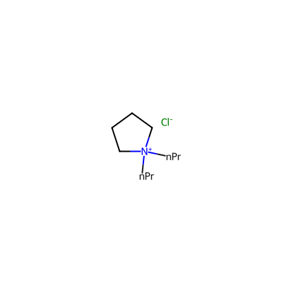 CCC[N+]1(CCC)CCCC1.[Cl-]